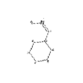 C/N=C\C1CCCCC1